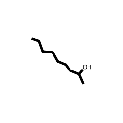 CCCCCCC[C](C)O